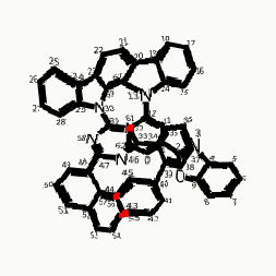 C1=C(c2nc3ccccc3o2)C=C(n2c3ccccc3c3ccc4c5ccccc5n(-c5nc(-c6ccccc6-c6ccccc6)nc(-c6cccc7ccccc67)n5)c4c32)CC1